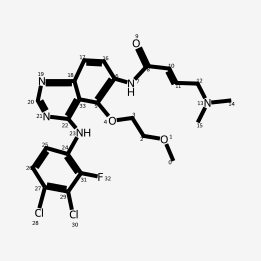 COCCOc1c(NC(=O)/C=C/CN(C)C)ccc2ncnc(Nc3ccc(Cl)c(Cl)c3F)c12